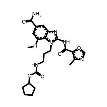 COc1cc(C(N)=O)cc2nc(NC(=O)c3ocnc3C)n(CCCNC(=O)OC3CCCC3)c12